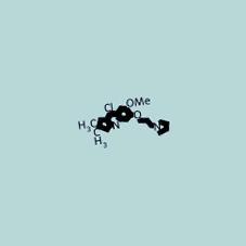 COc1cc2c(Cl)c3c(nc2cc1OCCCN1CCCC1)CC(C)(C)C3